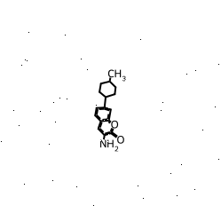 CC1CCC(c2ccc3cc(N)c(=O)oc3c2)CC1